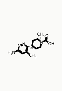 Cc1cc(N)nnc1[C@H]1CCN(C(=O)O)[C@@H](C)C1